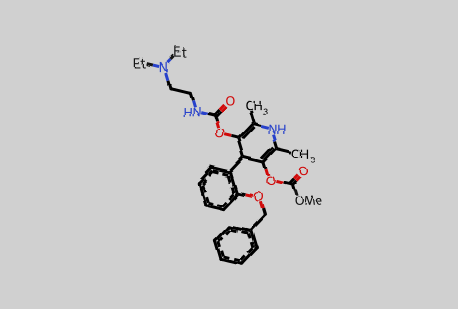 CCN(CC)CCNC(=O)OC1=C(C)NC(C)=C(OC(=O)OC)C1c1ccccc1OCc1ccccc1